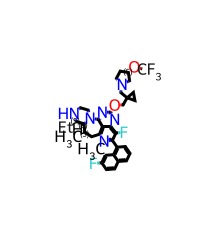 CC[C@@H]1NCCN2c3nc(OCC4(CN5CC[C@H](OC(F)(F)F)C5)CC4)nc4c(F)c(-c5cccc6ccc(F)c(C)c56)nc(c34)C[C@H](C)[C@@H]12